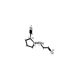 N#C[C@@H]1CCCN1NCC=O